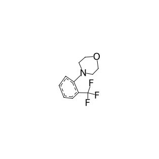 FC(F)(F)c1ccccc1N1CCOCC1